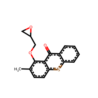 Cc1ccc2sc3ccccc3c(=O)c2c1OCC1CO1